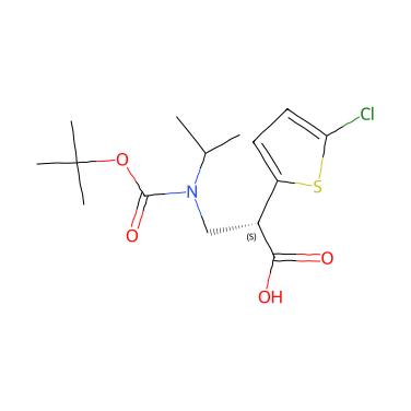 CC(C)N(C[C@@H](C(=O)O)c1ccc(Cl)s1)C(=O)OC(C)(C)C